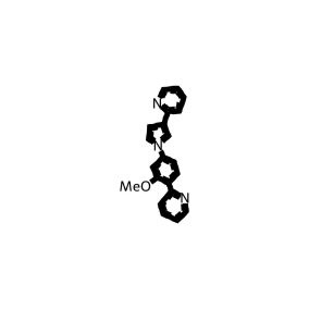 COc1cc(-n2ccc(-c3ccccn3)c2)ccc1-c1ccccn1